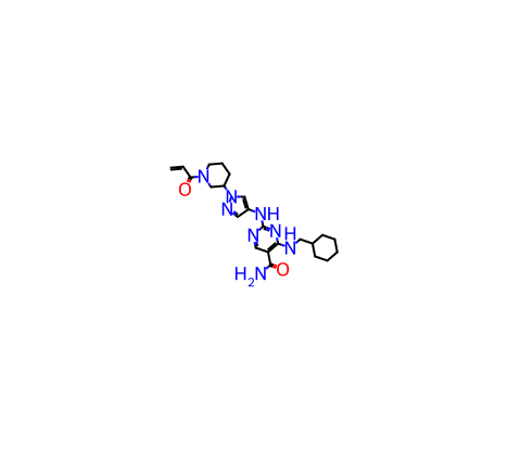 C=CC(=O)N1CCCC(n2cc(Nc3ncc(C(N)=O)c(NCC4CCCCC4)n3)cn2)C1